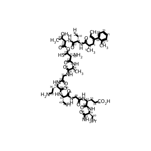 C/C=C(/C[C@H](C)C(=O)N[C@@H](CS)C(=O)N[C@H](C(=O)OC(S)[C@H](N)C(=O)N[C@@H](C)C(=O)NCC(=O)N[C@@H](CCN)C(=O)N[C@@H](CC(C)C)C(=O)NCC(=O)N[C@@H](CCC(=O)O)C(=O)N[C@@H](CC(C)C)C(N)=O)[C@@H](C)O)c1ccccc1C